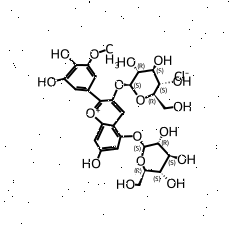 COc1cc(-c2[o+]c3cc(O)cc(O[C@@H]4O[C@H](CO)[C@@H](O)[C@H](O)[C@H]4O)c3cc2O[C@@H]2O[C@H](CO)[C@@H](O)[C@H](O)[C@H]2O)cc(O)c1O.[Cl-]